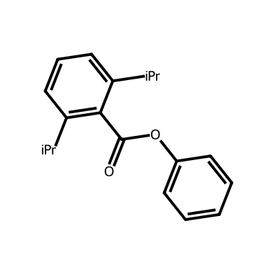 CC(C)c1cccc(C(C)C)c1C(=O)Oc1ccccc1